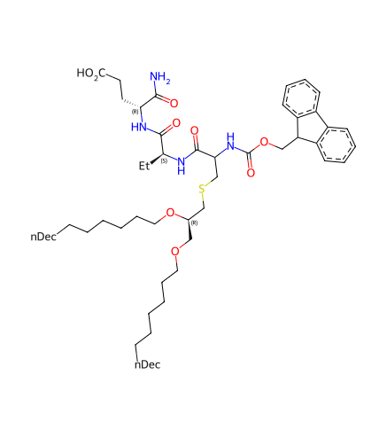 CCCCCCCCCCCCCCCCOC[C@H](CSCC(NC(=O)OCC1c2ccccc2-c2ccccc21)C(=O)N[C@@H](CC)C(=O)N[C@H](CCC(=O)O)C(N)=O)OCCCCCCCCCCCCCCCC